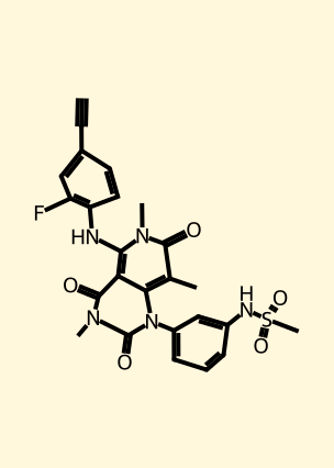 C#Cc1ccc(Nc2c3c(=O)n(C)c(=O)n(-c4cccc(NS(C)(=O)=O)c4)c3c(C)c(=O)n2C)c(F)c1